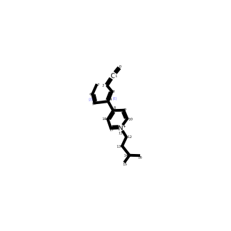 C=C=C/C=C(\C=C/C)c1cc[n+](CCC(C)C)cc1